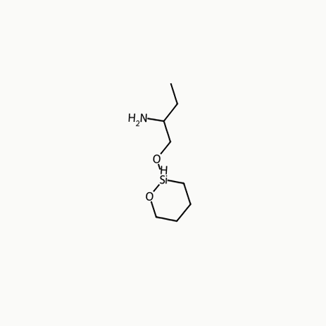 CCC(N)CO[SiH]1CCCCO1